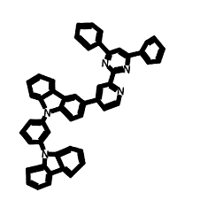 c1ccc(-c2cc(-c3ccccc3)nc(-c3cc(-c4ccc5c(c4)c4ccccc4n5-c4cccc(-n5c6ccccc6c6ccccc65)c4)ccn3)n2)cc1